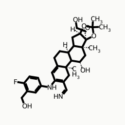 CC1(C)O[C@@H]2CC3[C@@H]4CCC5=CC(Nc6ccc(F)c(CO)c6)=C(C=N)C[C@]5(C)C4[C@@H](O)C[C@]3(C)[C@]2(C(=O)CO)O1